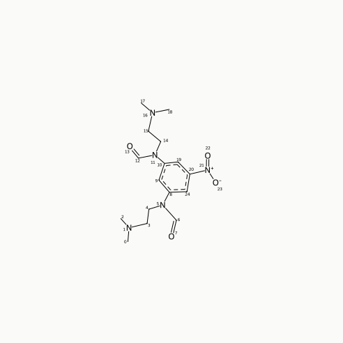 CN(C)CCN(C=O)c1cc(N(C=O)CCN(C)C)cc([N+](=O)[O-])c1